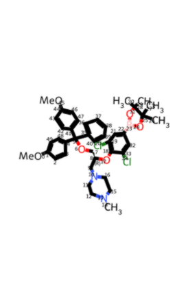 COc1ccc(C(OC[C@@H](CN2CCN(C)CC2)Oc2c(Cl)cc(B3OC(C)(C)C(C)(C)O3)cc2Cl)(c2ccccc2)c2ccc(OC)cc2)cc1